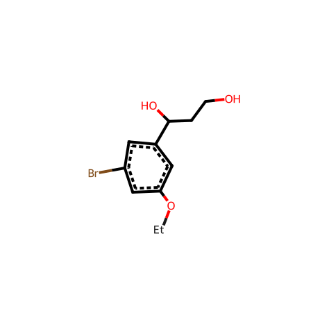 CCOc1cc(Br)cc(C(O)CCO)c1